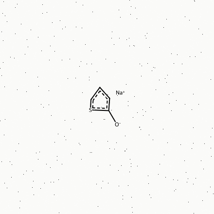 [Na+].[O-]c1cccs1